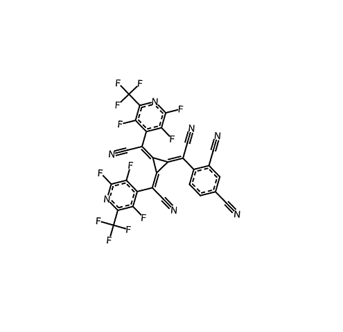 N#CC(=C1C(=C(\C#N)c2ccc(C#N)cc2C#N)/C1=C(\C#N)c1c(F)c(F)nc(C(F)(F)F)c1F)c1c(F)c(F)nc(C(F)(F)F)c1F